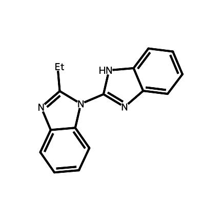 CCc1nc2ccccc2n1-c1nc2ccccc2[nH]1